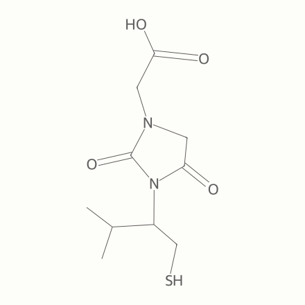 CC(C)C(CS)N1C(=O)CN(CC(=O)O)C1=O